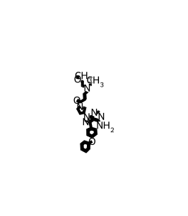 CCN(CC=CC(=O)N1CC[C@@H](n2nc(-c3ccc(Oc4ccccc4)cc3)c3c(N)ncnc32)C1)CCOC